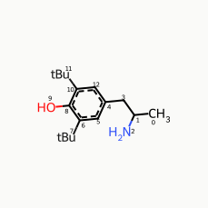 CC(N)Cc1cc(C(C)(C)C)c(O)c(C(C)(C)C)c1